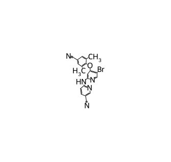 Cc1cc(C#N)cc(C)c1Oc1cc(Nc2ccc(C#N)cn2)ncc1Br